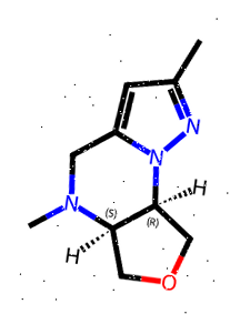 Cc1cc2n(n1)[C@H]1COC[C@H]1N(C)C2